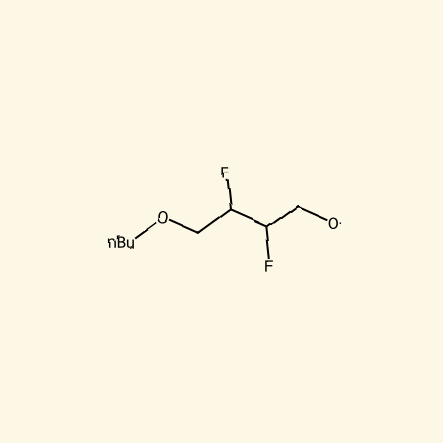 CCCCOCC(F)C(F)C[O]